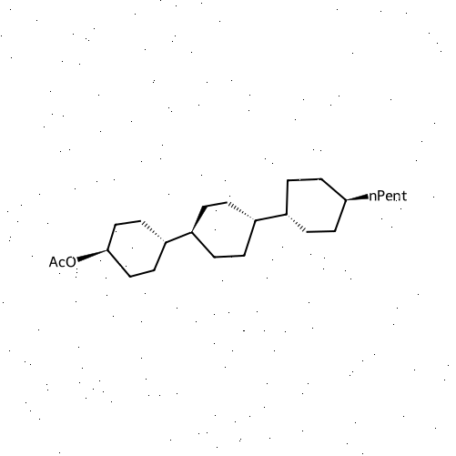 CCCCC[C@H]1CC[C@H]([C@H]2CC[C@H]([C@H]3CC[C@H](OC(C)=O)CC3)CC2)CC1